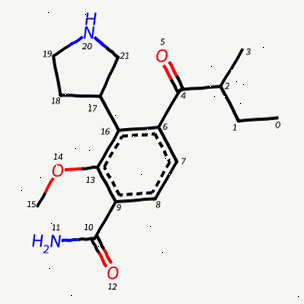 CCC(C)C(=O)c1ccc(C(N)=O)c(OC)c1C1CCNC1